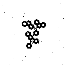 C1=Cc2c(ccc3cc(N(c4cccc(-c5c6ccccc6cc6c5c5ccccc5n6-c5ccccc5)c4)c4cc5ccccc5c5ccccc45)ccc23)CC1